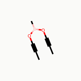 CC#COB(C)OC#CC